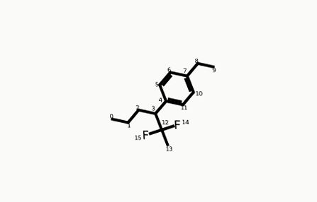 CCCC(c1ccc(CC)cc1)C(C)(F)F